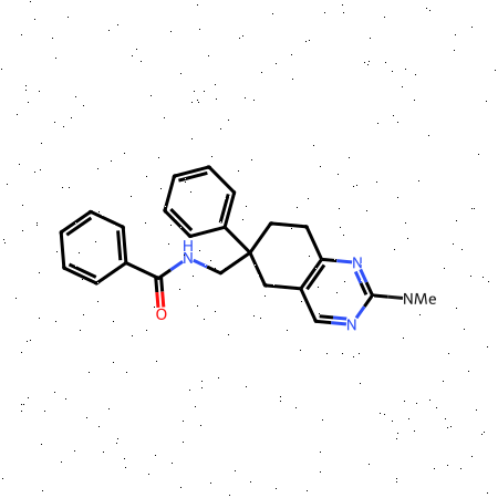 CNc1ncc2c(n1)CCC(CNC(=O)c1ccccc1)(c1ccccc1)C2